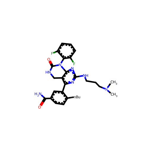 CCCCc1ccc(C(N)=O)cc1-c1nc(NCCCN(C)C)nc2c1CNC(=O)N2c1c(F)cccc1F